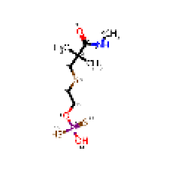 CNC(=O)C(C)(C)CSCCOP(O)(=S)S